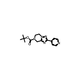 CC(C)(C)OC(=O)N1CCn2nc(-c3ccncc3)nc2C1